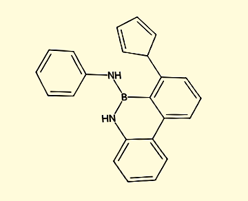 C1=CC(c2cccc3c2B(Nc2ccccc2)Nc2ccccc2-3)C=C1